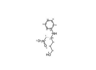 O=[N+]([O-])C[C@@H](CCCO)Nc1ccccc1